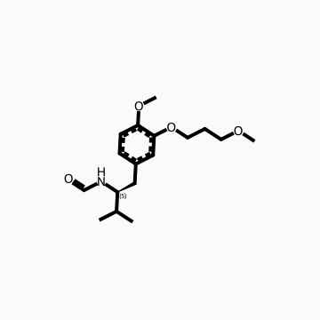 COCCCOc1cc(C[C@H](NC=O)C(C)C)ccc1OC